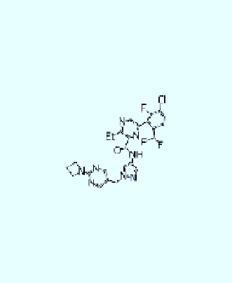 CCc1ncc(-c2c(C(F)F)ccc(Cl)c2F)nc1C(=O)Nc1cnn(Cc2cnc(N3CCC3)nc2)c1